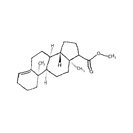 COC(=O)C1CC[C@H]2[C@@H]3CCC4=CCCC[C@]4(C)[C@@H]3CC[C@]12C